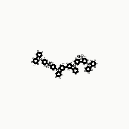 O=S(=O)(c1ccc(-n2c3ccccc3c3ccccc32)cc1)c1ccc(-n2c3ccccc3c3cc(-c4ccc5c(c4)c4ccccc4n5-c4ccc5c(c4)-c4cc(-n6c7ccccc7c7ccccc76)ccc4S5(=O)=O)ccc32)cc1